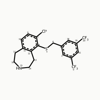 FC(F)(F)c1cc(CSc2c(Cl)ccc3c2CCNCC3)cc(C(F)(F)F)c1